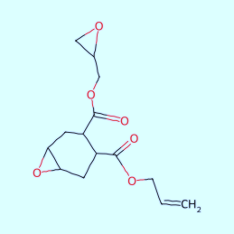 C=CCOC(=O)C1CC2OC2CC1C(=O)OCC1CO1